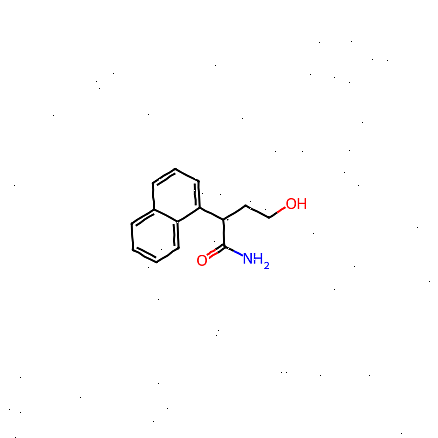 NC(=O)[C](CCO)c1cccc2ccccc12